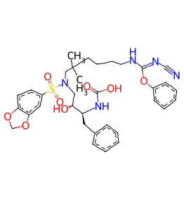 CC(C)(CCCCNC(=NC#N)Oc1ccccc1)CN(C[C@H](O)[C@H](Cc1ccccc1)NC(=O)O)S(=O)(=O)c1ccc2c(c1)OCO2